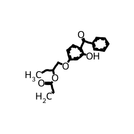 C=CC(=O)OC(CC)COc1ccc(C(=O)c2ccccc2)c(O)c1